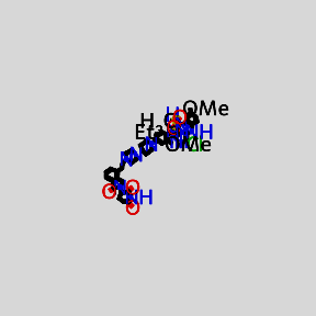 CCc1cc(Nc2ncc(Cl)c(Nc3ccc(OC)cc3NS(C)(=O)=O)n2)c(OC)cc1N1CCC(N2CCN(CCc3cccc4c3CN(C3CCC(=O)NC3=O)C4=O)CC2)CC1